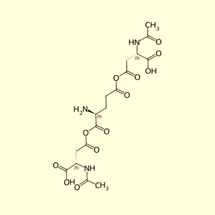 CC(=O)N[C@@H](CC(=O)OC(=O)CC[C@H](N)C(=O)OC(=O)C[C@H](NC(C)=O)C(=O)O)C(=O)O